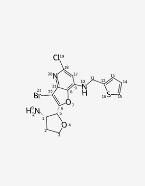 N[C@H]1CCO[C@H]1c1oc2c(NCc3cccs3)cc(Cl)nc2c1Br